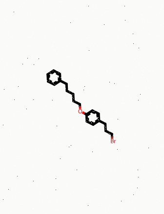 BrCCCc1ccc(OCCCCCc2ccccc2)cc1